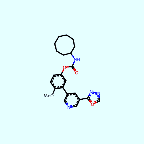 COc1ccc(OC(=O)NC2CCCCCCC2)cc1-c1cncc(-c2nnco2)c1